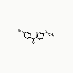 COc1ccc(C(=O)c2ccc(Br)cc2)nc1